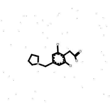 O=C(Cl)Cc1c(Cl)cc(CN2CCCC2)cc1Cl